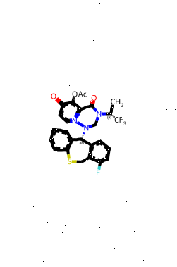 CC(=O)Oc1c2n(ccc1=O)N([C@H]1c3ccccc3SCc3c(F)cccc31)CN([C@H](C)C(F)(F)F)C2=O